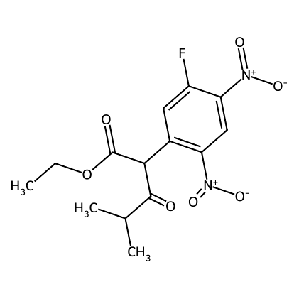 CCOC(=O)C(C(=O)C(C)C)c1cc(F)c([N+](=O)[O-])cc1[N+](=O)[O-]